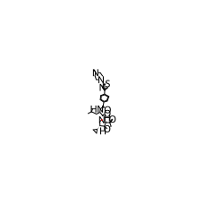 CC(C)CC(NC(=O)c1ccc(-c2csc(N3CCN(C)CC3)n2)cc1)C(=O)N1C[C@@H](C2CC2)[C@H]2OCC(=O)[C@H]21